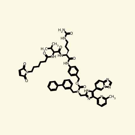 Cc1cccc(-c2nc(CN(Cc3cccc(-c4ccccc4)c3)C(=O)OCc3ccc(NC(=O)[C@H](CCCNC(N)=O)NC(=O)C(NC(=O)CCCCCN4C(=O)C=CC4=O)C(C)C)cc3)[nH]c2-c2ccc3ncnn3c2)n1